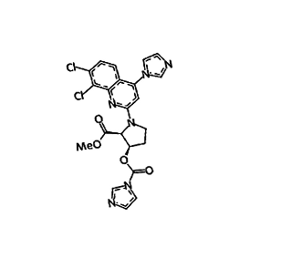 COC(=O)[C@@H]1[C@H](OC(=O)n2ccnc2)CCN1c1cc(-n2ccnc2)c2ccc(Cl)c(Cl)c2n1